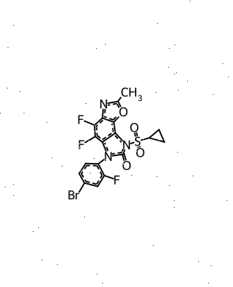 Cc1nc2c(F)c(F)c3c(c2o1)n(S(=O)(=O)C1CC1)c(=O)n3-c1ccc(Br)cc1F